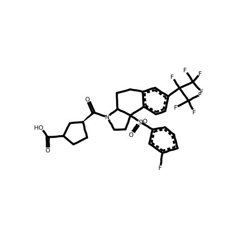 O=C(O)C1CC[C@H](C(=O)N2CCC3(S(=O)(=O)c4cccc(F)c4)c4ccc(C(F)(C(F)(F)F)C(F)(F)F)cc4CCC23)C1